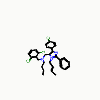 CCCCN(Cc1c(Cl)cccc1Cl)Cc1c(-c2ccc(Cl)cc2)nc(-c2ccccc2)n1CCCC